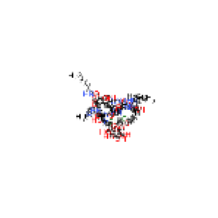 CCCCCCCCNC(=O)Oc1cc(O)c2c(c1)[C@@H](C(=O)N1CCN(C)CC1)NC(=O)[C@H]1NC(=O)[C@H](NC(=O)[C@@H]3NC(=O)[C@H](CC(N)=O)NC(=O)[C@H](NC(=O)[C@@H](CC(C)C)NC)[C@H](O)c4ccc(c(Cl)c4)Oc4cc3cc(c4O[C@@H]3O[C@H](CO)[C@@H](O)[C@H](O)[C@H]3O)Oc3ccc(cc3Cl)[C@H]1O)c1ccc(O)c-2c1